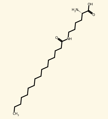 CCCCCCCCCCCCCCCC(=O)NCCCC[C@H](N)C(=O)O